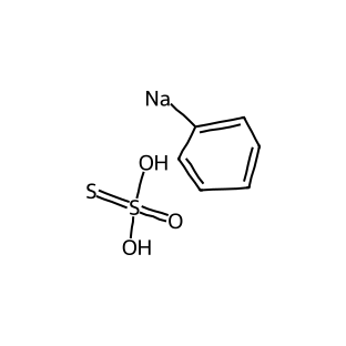 O=S(O)(O)=S.[Na][c]1ccccc1